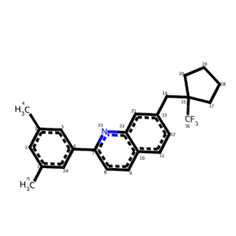 Cc1cc(C)cc(-c2ccc3ccc(CC4(C(F)(F)F)CCCC4)cc3n2)c1